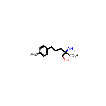 COc1ccc(CCCC(N)(CO)C(=O)O)cc1